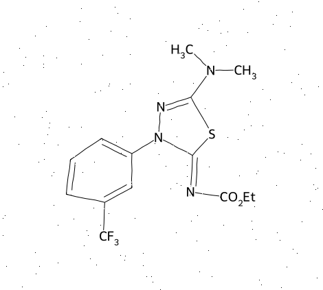 CCOC(=O)N=c1sc(N(C)C)nn1-c1cccc(C(F)(F)F)c1